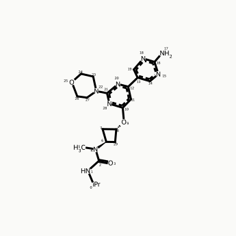 CC(C)NC(=O)N(C)[C@H]1C[C@H](Oc2cc(-c3cnc(N)nc3)nc(N3CCOCC3)n2)C1